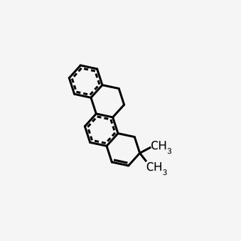 CC1(C)C=Cc2ccc3c(c2C1)CCc1ccccc1-3